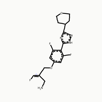 NC/C(=C\F)COc1cc(F)c(-c2nc(C3CCOCC3)n[nH]2)c(F)c1